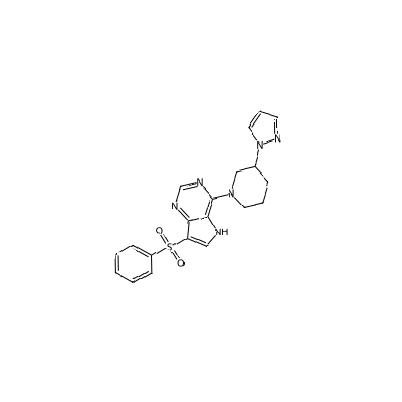 O=S(=O)(c1ccccc1)c1c[nH]c2c(N3CCCC(n4cccn4)C3)ncnc12